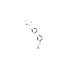 CN(C)C(=O)[C@H](Cc1ccc(Oc2ccc(CCC(N)=O)cc2)cc1)NCl